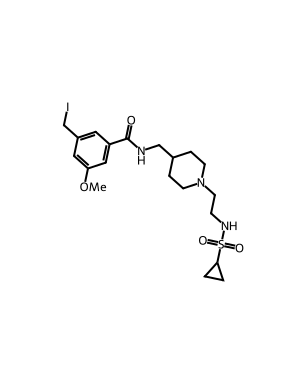 COc1cc(CI)cc(C(=O)NCC2CCN(CCNS(=O)(=O)C3CC3)CC2)c1